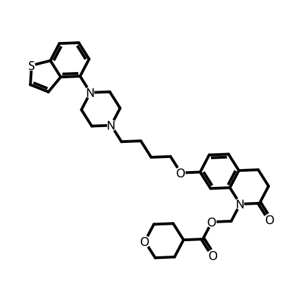 O=C(OCN1C(=O)CCc2ccc(OCCCCN3CCN(c4cccc5sccc45)CC3)cc21)C1CCOCC1